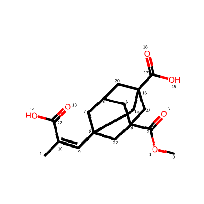 COC(=O)C12CC3CC(C=C(C)C(=O)O)(CC(C(=O)O)(C3)C1)C2